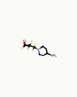 CC1CCN(C(F)(F)C(F)(F)C(=O)F)CC1